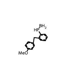 BPc1ccccc1Cc1ccc(OC)cc1